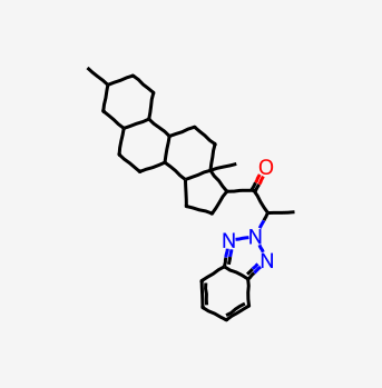 CC1CCC2C(CCC3C2CCC2(C)C(C(=O)C(C)n4nc5ccccc5n4)CCC32)C1